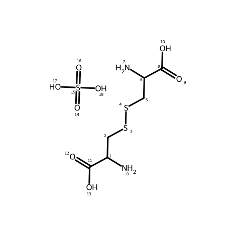 NC(CSSCC(N)C(=O)O)C(=O)O.O=S(=O)(O)O